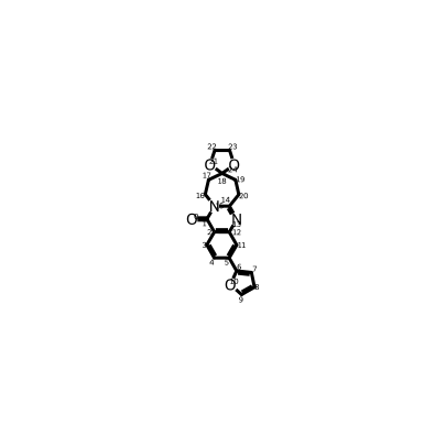 O=c1c2ccc(-c3ccco3)cc2nc2n1CCC1(CC2)OCCO1